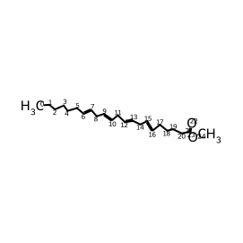 CCCCCCC=CCC=CCC=CCC=CCCCCC(=O)OC